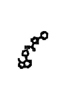 Cc1ccn2ccnc(N3CC[C@H](NC(=O)c4ncn(-c5ccccc5)n4)C3)c12